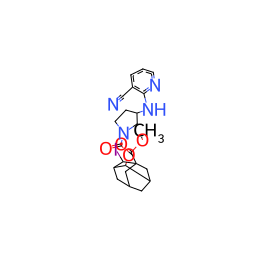 COC(=O)C12CC3CC(C1)C(OC(=O)N1CCC(Nc4ncccc4C#N)C1)C(C3)C2I